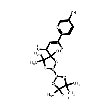 CC(/C=C(\F)c1ccc(C#N)cn1)C1(C)OB(B2OC(C)(C)C(C)(C)O2)OC1(C)C